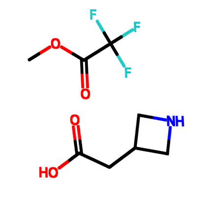 COC(=O)C(F)(F)F.O=C(O)CC1CNC1